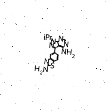 CC(C)n1nc(-c2ccc3sc(N)nc3c2)c2c(N)ncnc21